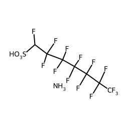 N.O=S(=O)(O)C(F)C(F)(F)C(F)(F)C(F)(F)C(F)(F)C(F)(F)C(F)(F)F